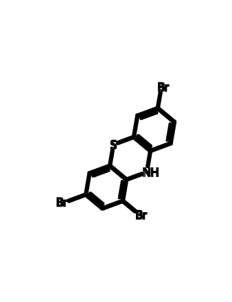 Brc1ccc2c(c1)Sc1cc(Br)cc(Br)c1N2